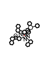 c1ccc(C2Cc3cc(-c4nc(-c5ccc6c(oc7ccc8ccccc8c76)c5-n5c6cc7ccccc7cc6c6c7ccccc7ccc65)nc(-c5cccc6ccccc56)n4)ccc3-c3ccccc32)cc1